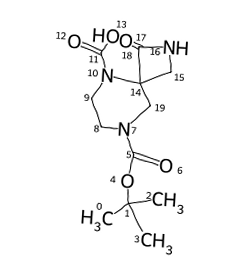 CC(C)(C)OC(=O)N1CCN(C(=O)O)C2(CNC2=O)C1